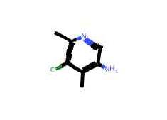 Cc1ncc(N)c(C)c1Cl